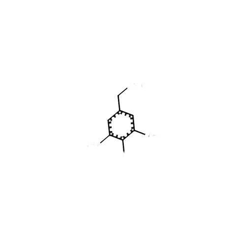 CCCCCc1cc(CC(=O)O)cc(CCCCC)c1F